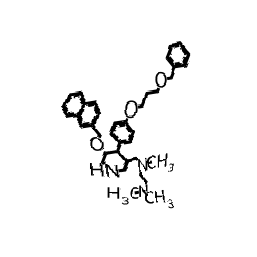 CN(C)CCN(C)CC1CNCC(OCc2ccc3ccccc3c2)C1c1ccc(OCCCOCc2ccccc2)cc1